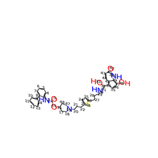 O=C(Nc1ccccc1-c1ccccc1)OC1CCN(CCCc2ccc(CCCNC[C@@H](O)c3ccc(O)c4[nH]c(=O)ccc34)s2)CC1